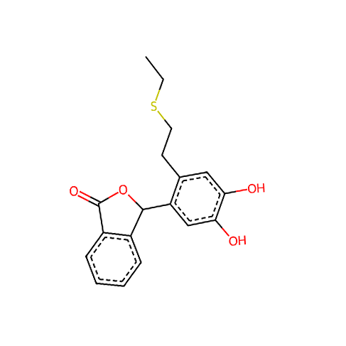 CCSCCc1cc(O)c(O)cc1C1OC(=O)c2ccccc21